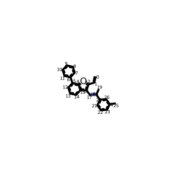 C=Cc1oc2c(-c3ccccc3)cccc2c1/C=C(\C)c1cccc(C)c1